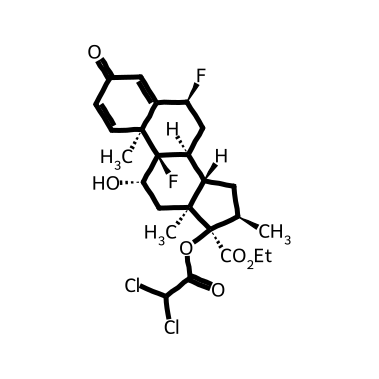 CCOC(=O)[C@@]1(OC(=O)C(Cl)Cl)[C@H](C)C[C@H]2[C@@H]3C[C@H](F)C4=CC(=O)C=C[C@]4(C)[C@@]3(F)[C@@H](O)C[C@@]21C